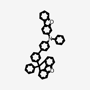 c1ccc(N(c2ccc(-c3cccc(C4(c5ccccc5)c5cccc6oc7cccc4c7c56)c3)cc2)c2ccc3c(c2)oc2ccccc23)cc1